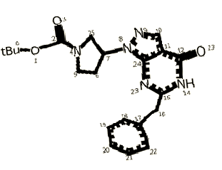 CC(C)(C)OC(=O)N1CCC(n2ncc3c(=O)[nH]c(Cc4ccccc4)nc32)C1